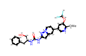 COc1ncc(-c2ccn3nc(NC(=O)N[C@H](CO)Cc4ccccc4)cc3c2)cc1OC(F)F